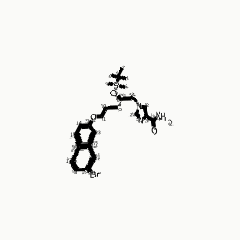 CC(C)(C)[Si](C)(C)O[C@@H](CCCOc1ccc2ccc(Br)cc2c1)Cn1cnc(C(N)=O)c1